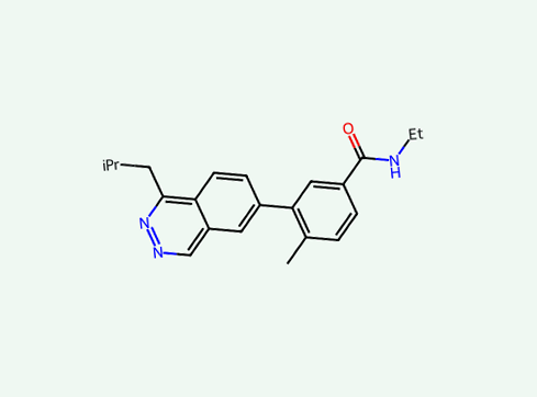 CCNC(=O)c1ccc(C)c(-c2ccc3c(CC(C)C)nncc3c2)c1